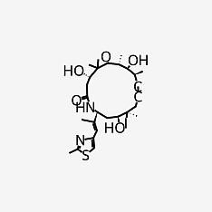 C/C(=C\c1csc(C)n1)[C@@H]1C[C@H](O)[C@](C)(I)CCC[C@H](C)[C@H](O)[C@@H](C)C(=O)C(C)(C)[C@@H](O)CC(=O)N1